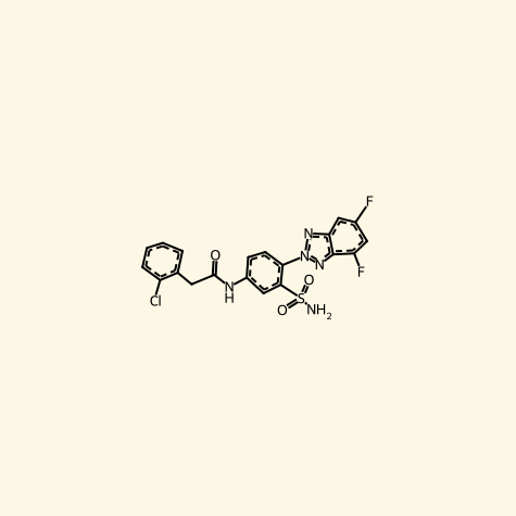 NS(=O)(=O)c1cc(NC(=O)Cc2ccccc2Cl)ccc1-n1nc2cc(F)cc(F)c2n1